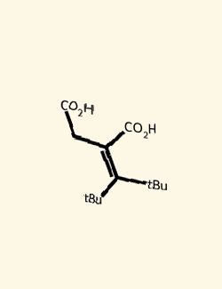 CC(C)(C)C(=C(CC(=O)O)C(=O)O)C(C)(C)C